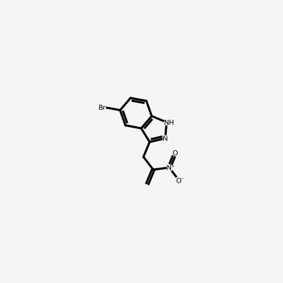 C=C(Cc1n[nH]c2ccc(Br)cc12)[N+](=O)[O-]